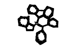 Cc1cccc2c1[CH]([Zr](=[C](c1ccccc1)c1ccccc1)[CH]1c3ccccc3-c3ccccc31)C=C2